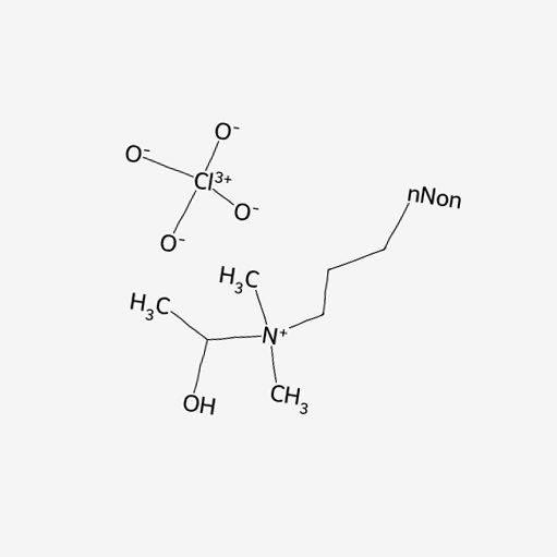 CCCCCCCCCCCC[N+](C)(C)C(C)O.[O-][Cl+3]([O-])([O-])[O-]